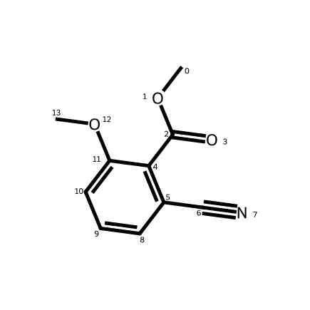 COC(=O)c1c(C#N)cccc1OC